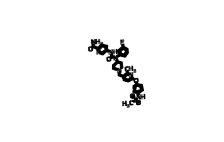 Cc1nc(Oc2ccc(NS(C)(=O)=O)cc2)ccc1CN1CCC(N(C(=O)Nc2ccc(C(N)=O)nc2)c2cccc(F)c2)CC1